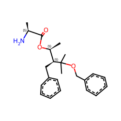 C[C@H](N)C(=O)O[C@@H](C)[C@H](Cc1ccccc1)C(C)(C)OCc1ccccc1